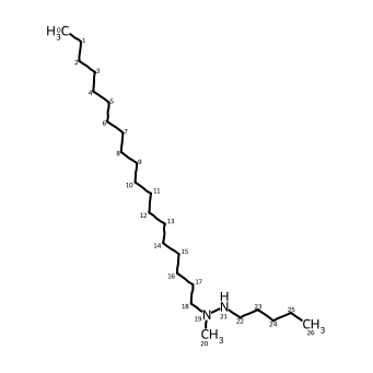 CCCCCCCCCCCCCCCCCCCN(C)NCCCCC